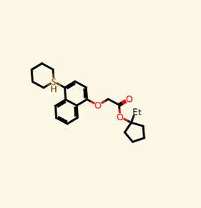 CCC1(OC(=O)COc2ccc([SH]3CCCCC3)c3ccccc23)CCCC1